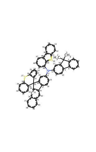 CC1(C)c2ccccc2-c2ccc(N(c3ccc4c(c3)C3(c5ccccc5Sc5ccccc53)c3cc5ccccc5cc3-4)c3cccc4c3sc3ccccc34)cc21